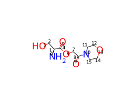 N[C@@H](CO)C(=O)OCC(=O)N1CCOCC1